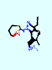 CCc1nn(C2CCCCO2)c2cc(N)c(C)cc12